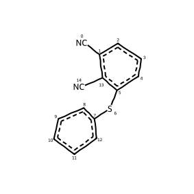 N#Cc1cccc(Sc2ccccc2)c1C#N